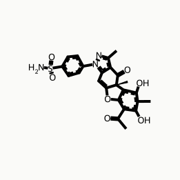 CC(=O)c1c(O)c(C)c(O)c2c1OC1=Cc3c(c(C)nn3-c3ccc(S(N)(=O)=O)cc3)C(=O)[C@@]12C